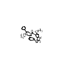 Cc1cc2[nH]c(=O)c3cnn(C4CCCC4)c3c2cc1C(=O)N1CCN(C)C(c2ccccc2)C1